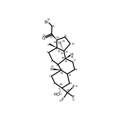 C[C@]12CCC3[C@H]4CC[C@](O)(C(F)(F)F)CC4CC[C@H]3[C@@H]1CC[C@@H]2C(=O)CBr